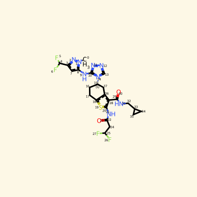 Cn1nc(C(F)F)cc1Nc1nncn1[C@H]1CCc2sc(NC(=O)CC(F)F)c(C(=O)NCC3CC3)c2C1